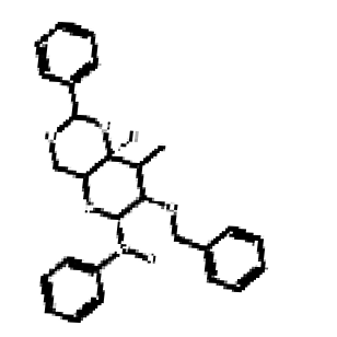 CC1[C@@H]2OC(c3ccccc3)OCC2O[C@H]([S+]([O-])c2ccccc2)[C@@H]1OCc1ccccc1